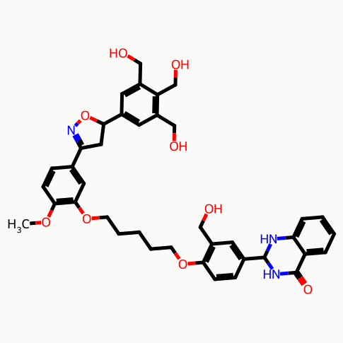 COc1ccc(C2=NOC(c3cc(CO)c(CO)c(CO)c3)C2)cc1OCCCCCOc1ccc(C2NC(=O)c3ccccc3N2)cc1CO